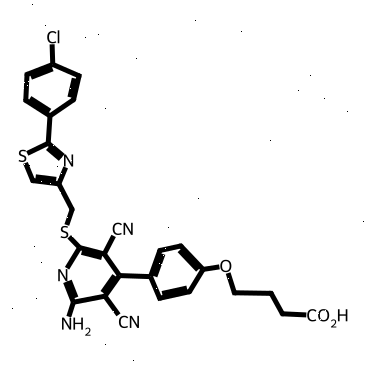 N#Cc1c(N)nc(SCc2csc(-c3ccc(Cl)cc3)n2)c(C#N)c1-c1ccc(OCCCC(=O)O)cc1